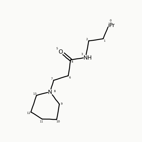 CC(C)CCNC(=O)CCN1CCCCC1